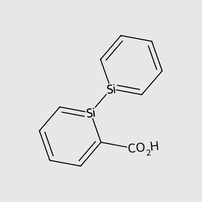 O=C(O)c1cccc[si]1-[si]1ccccc1